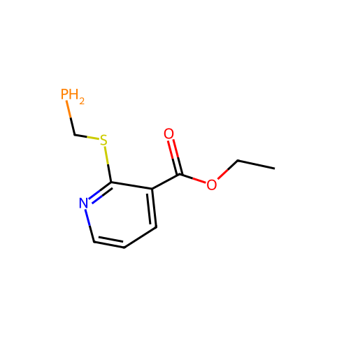 CCOC(=O)c1cccnc1SCP